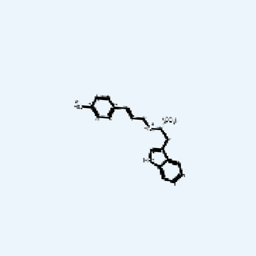 O=C(O)[C@H](Cc1c[nH]c2ccccc12)NCC=Cc1ccc(O)cc1